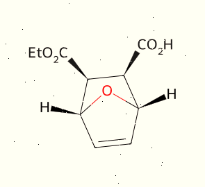 CCOC(=O)[C@H]1[C@@H](C(=O)O)[C@@H]2C=C[C@H]1O2